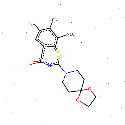 N#Cc1c(C(F)(F)F)cc2c(=O)nc(N3CCC4(CC3)OCCO4)sc2c1[N+](=O)[O-]